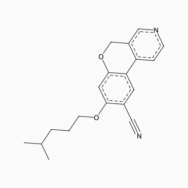 CC(C)CCCOc1cc2c(cc1C#N)-c1ccncc1CO2